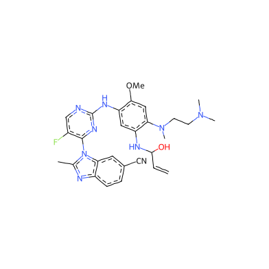 C=CC(O)Nc1cc(Nc2ncc(F)c(-n3c(C)nc4ccc(C#N)cc43)n2)c(OC)cc1N(C)CCN(C)C